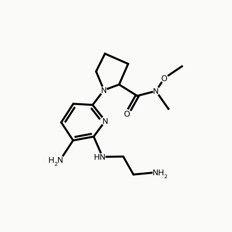 CON(C)C(=O)C1CCCN1c1ccc(N)c(NCCN)n1